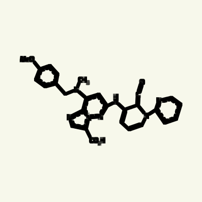 COc1ccc(CN(C)c2cc(NC3=CC=CN(c4ccccn4)C3=C=O)nn3c(C(=O)O)cnc23)cc1